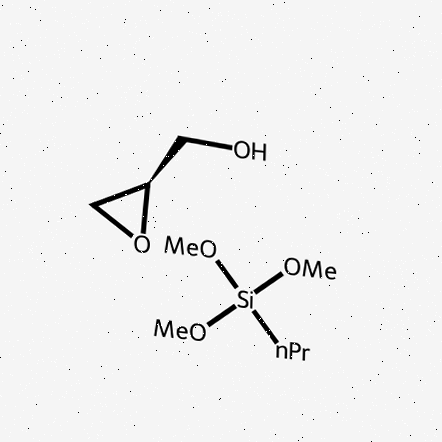 CCC[Si](OC)(OC)OC.OC[C@@H]1CO1